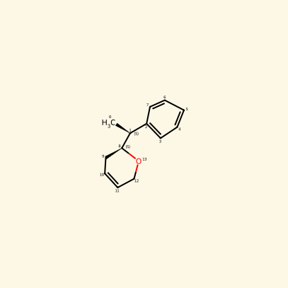 C[C@@H](c1ccccc1)[C@@H]1CC=CCO1